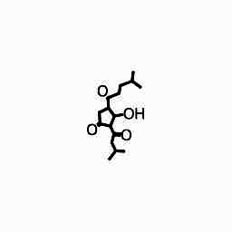 CC(C)CCC(=O)C1CC(=O)C(C(=O)CC(C)C)C1O